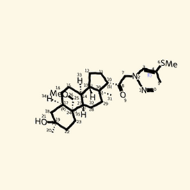 C=NN(/C=C(\C)SC)CC(=O)[C@H]1CC[C@H]2[C@@H]3CC[C@@H]4C[C@](C)(O)CC[C@]4(COC)[C@H]3CC[C@]12C